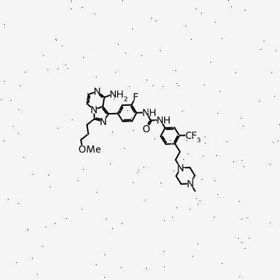 COCCCc1nc(-c2ccc(NC(=O)Nc3ccc(CCN4CCN(C)CC4)c(C(F)(F)F)c3)c(F)c2)c2c(N)nccn12